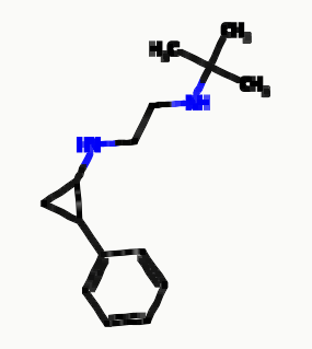 CC(C)(C)NCCNC1CC1c1ccccc1